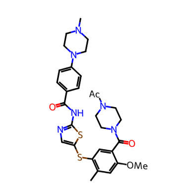 COc1cc(C)c(Sc2cnc(NC(=O)c3ccc(N4CCN(C)CC4)cc3)s2)cc1C(=O)N1CCN(C(C)=O)CC1